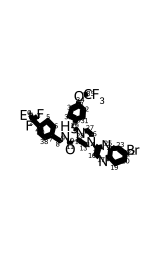 CCC(F)(F)c1ccc(CNC(=O)[C@H]2CN(c3cnc4ccc(Br)cc4n3)CCN2Sc2ccc(OC(F)(F)F)cc2)cc1